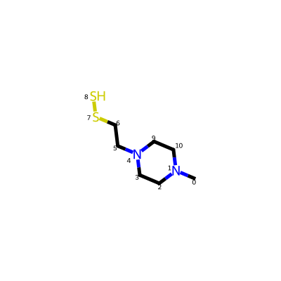 CN1CCN(CCSS)CC1